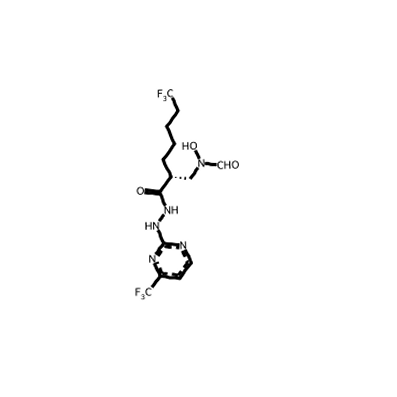 O=CN(O)C[C@@H](CCCCC(F)(F)F)C(=O)NNc1nccc(C(F)(F)F)n1